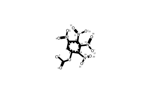 O=C(Cl)Oc1cc([N+](=O)[O-])c([N+](=O)[O-])c([N+](=O)[O-])c1[N+](=O)[O-]